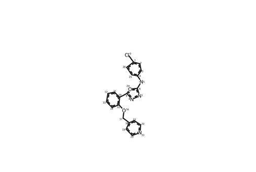 Clc1ccc([N]c2nnc(-c3ccccc3OCc3ccncc3)o2)cc1